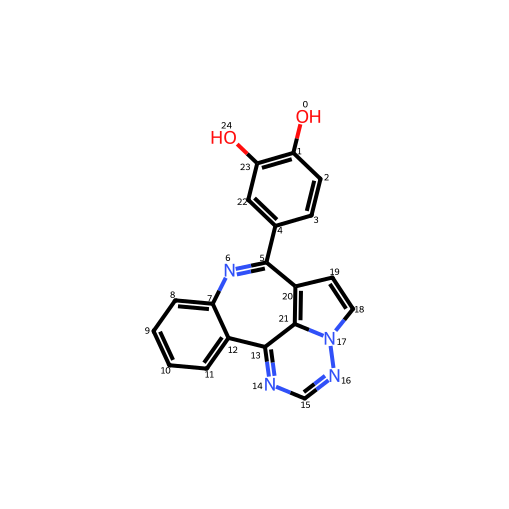 Oc1ccc(C2=Nc3ccccc3-c3ncnn4ccc2c34)cc1O